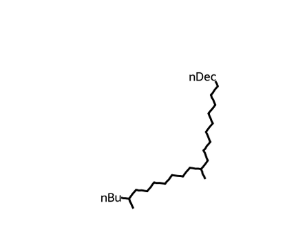 CCCCCCCCCCCCCCCCCCCC(C)CCCCCCCC(C)CCCC